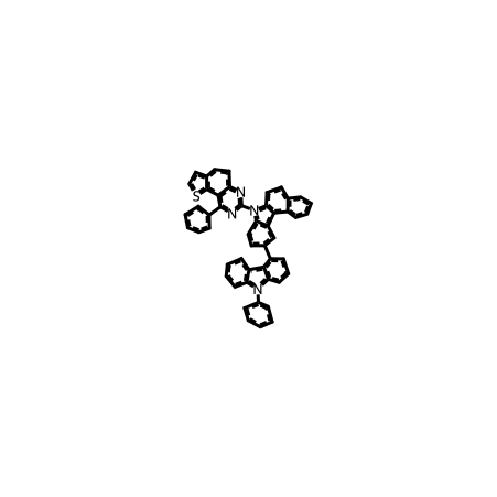 c1ccc(-c2nc(-n3c4ccc(-c5cccc6c5c5ccccc5n6-c5ccccc5)cc4c4c5ccccc5ccc43)nc3ccc4ccsc4c23)cc1